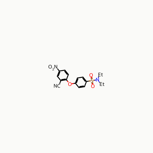 CCN(CC)S(=O)(=O)c1ccc(Oc2ccc([N+](=O)[O-])cc2C#N)cc1